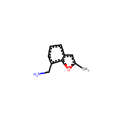 Cc1cc2cccc(CN)c2o1